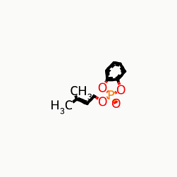 CC(C)=CCOP1(=O)Oc2ccccc2O1